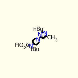 CCCCc1nc(C)cc(N2CCC(N(C(=O)O)C(C)(C)C)CC2)n1